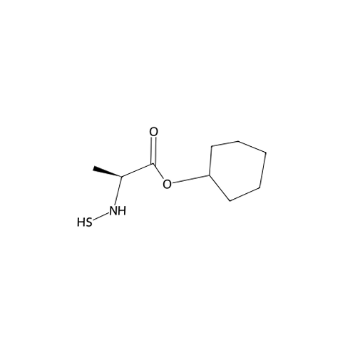 C[C@H](NS)C(=O)OC1CCCCC1